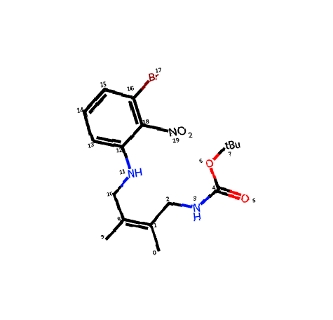 CC(CNC(=O)OC(C)(C)C)=C(C)CNc1cccc(Br)c1[N+](=O)[O-]